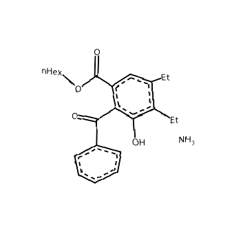 CCCCCCOC(=O)c1cc(CC)c(CC)c(O)c1C(=O)c1ccccc1.N